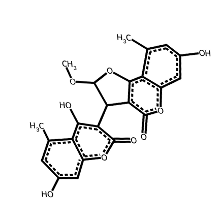 COC1Oc2c(c(=O)oc3cc(O)cc(C)c23)C1c1c(O)c2c(C)cc(O)cc2oc1=O